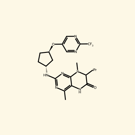 Cc1nc(N[C@@H]2CC[C@@H](Oc3cnc(C(F)(F)F)nc3)C2)nc2c1NC(=O)C(C(C)C)N2C